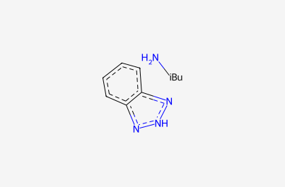 CCC(C)N.c1ccc2n[nH]nc2c1